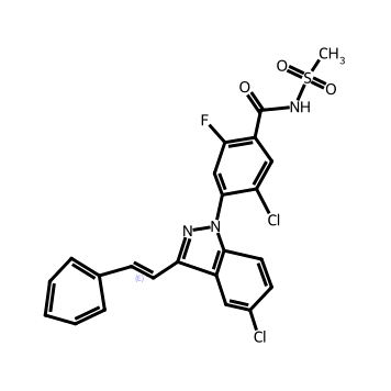 CS(=O)(=O)NC(=O)c1cc(Cl)c(-n2nc(/C=C/c3ccccc3)c3cc(Cl)ccc32)cc1F